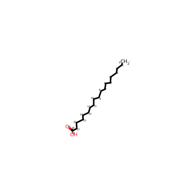 [CH2]CCCCCCCCCCCCCCCCCC(=O)O